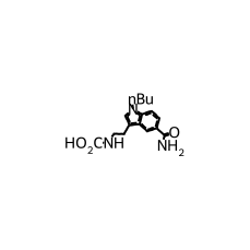 CCCCn1cc(CCNC(=O)O)c2cc(C(N)=O)ccc21